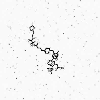 CC(=O)O[C@@H]1[C@@H](CC(=O)O)[C@H](OC(C)=O)[C@]2(C(C)(C)O)CO[C@@]1(c1ccc(C)c(Cc3ccc(CCCC(=O)NC(C)(C)C(=O)NCCN4CC[C@@H](F)C4)cc3)c1)O2